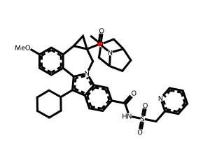 COc1ccc2c(c1)C1CC1(C(=O)N1C3CCC1CN(C)C3)Cn1c-2c(C2CCCCC2)c2ccc(C(=O)NS(=O)(=O)Cc3ccccn3)cc21